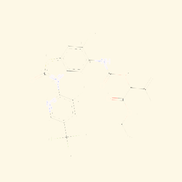 C=C(C)C(OC(=O)Nc1cc2c(cc1F)sc(=O)n2-c1ncc(C(F)(F)F)cc1Cl)C(=O)OCC